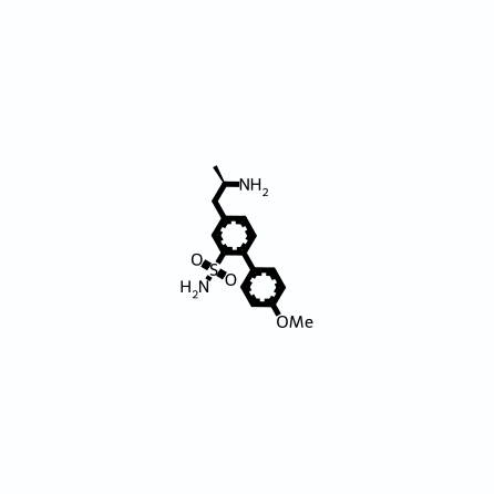 COc1ccc(-c2ccc(C[C@@H](C)N)cc2S(N)(=O)=O)cc1